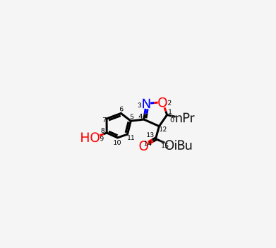 CCCC1ON=C(c2ccc(O)cc2)C1C(=O)OCC(C)C